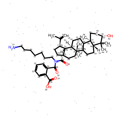 C=C(C)[C@@H]1CC[C@]2(C(=O)N(CCCCCCCN)C(=O)c3ccccc3C(=O)O)CC[C@]3(C)[C@H](CCC4[C@@]5(C)CC[C@H](O)C(C)(C)[C@@H]5CC[C@]43C)[C@@H]12